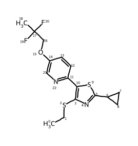 CCSc1nc(C2CC2)sc1-c1ccc(OCC(C)(F)F)cn1